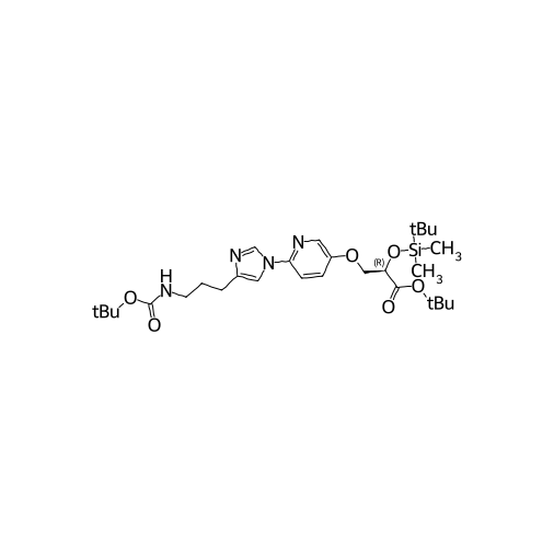 CC(C)(C)OC(=O)NCCCc1cn(-c2ccc(OC[C@@H](O[Si](C)(C)C(C)(C)C)C(=O)OC(C)(C)C)cn2)cn1